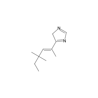 CCC(C)(C)/C=C(\C)C1=NC=NC1